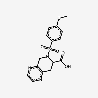 COc1ccc(S(=O)(=O)N2Cc3nccnc3CC2C(=O)O)cc1